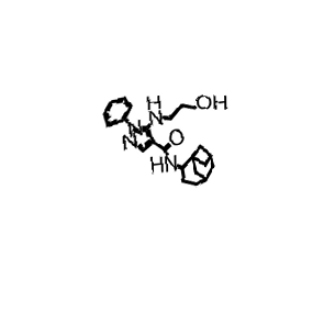 O=C(NC1CCC2CC3CC1(C2)C3)c1cnn(-c2ccccc2)c1NCCCO